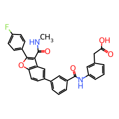 CNC(=O)c1c(-c2ccc(F)cc2)oc2ccc(-c3cccc(C(=O)Nc4cccc(CC(=O)O)c4)c3)cc12